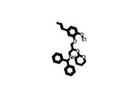 CC=Cc1ccc(OCC)c(OCC(CNC(c2ccccc2)c2ccccc2)OC2CCCCO2)c1